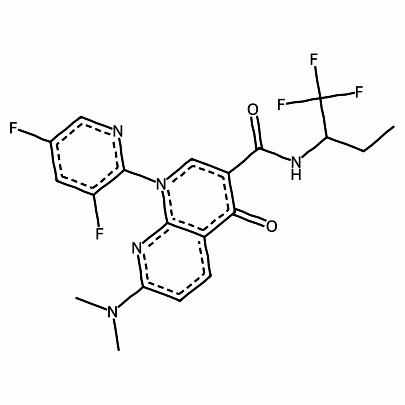 CCC(NC(=O)c1cn(-c2ncc(F)cc2F)c2nc(N(C)C)ccc2c1=O)C(F)(F)F